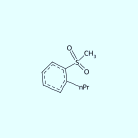 [CH2]CCc1ccccc1S(C)(=O)=O